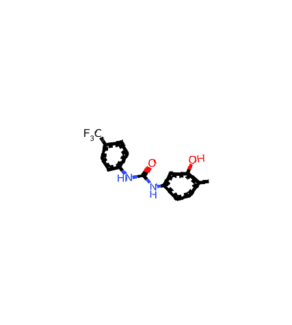 Cc1ccc(NC(=O)Nc2ccc(C(F)(F)F)cc2)cc1O